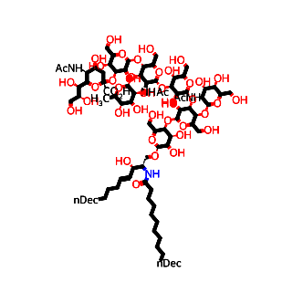 CCCCCCCCCCCCC/C=C/[C@@H](O)[C@H](CO[C@@H]1OC(CO)[C@@H](O[C@@H]2OC(CO)[C@H](O[C@@H]3OC(CO)[C@H](O)[C@H](O)C3NC(C)=O)[C@H](O[C@H]3OC(CO)[C@H](O)[C@H](O[C@@H]4OC(CO)[C@@H](O[C@@H]5OC(CO)[C@H](O)[C@H](O[C@]6(C(=O)O)CC(O)[C@@H](NC(C)=O)C([C@H](O)[C@H](O)CO)O6)C5O)[C@H](O[C@H]5OC(C)[C@@H](O)C(O)[C@@H]5O)C4NC(C)=O)C3O)C2O)[C@H](O)C1O)NC(=O)CCCCCCCCCCCCCCCCCCC